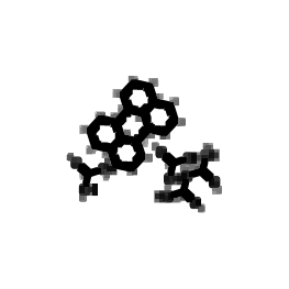 O=C(O)O.O=C(O)O.O=C(O)OC(=O)O.c1cc2cccc3c4cccc5cccc(c(c1)c23)c54